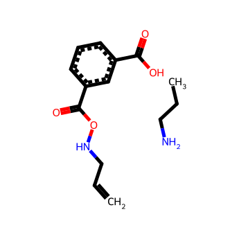 C=CCNOC(=O)c1cccc(C(=O)O)c1.CCCN